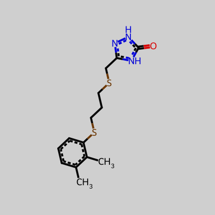 Cc1cccc(SCCCSCc2n[nH]c(=O)[nH]2)c1C